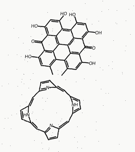 C1=Cc2cc3ccc(cc4nc(cc5ccc(cc1n2)[nH]5)C=C4)[nH]3.Cc1cc(O)c2c(=O)c3c(O)cc(O)c4c5c(O)cc(O)c6c(=O)c7c(O)cc(C)c8c1c2c(c34)c(c78)c65